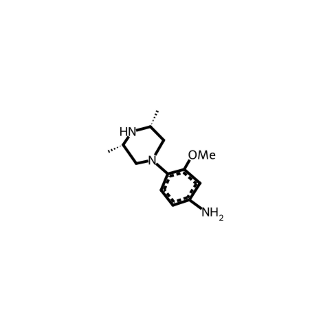 COc1cc(N)ccc1N1C[C@@H](C)N[C@@H](C)C1